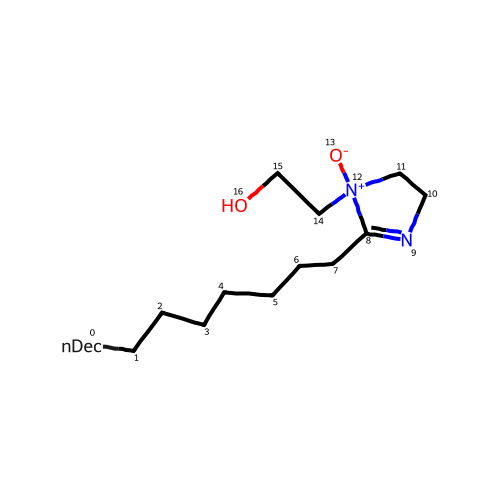 CCCCCCCCCCCCCCCCCC1=NCC[N+]1([O-])CCO